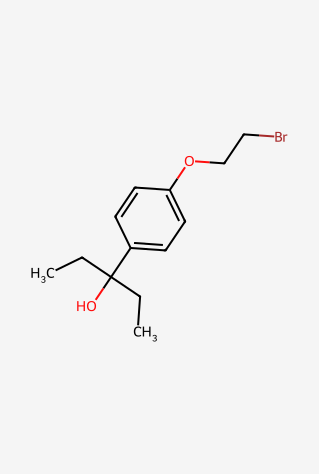 CCC(O)(CC)c1ccc(OCCBr)cc1